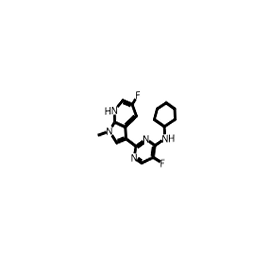 CN1C=C(c2ncc(F)c(NC3CCCCC3)n2)C2=CC(F)=CNC21